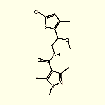 COC(CNC(=O)c1c(C)nn(C)c1F)c1sc(Cl)cc1C